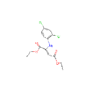 CCOC(=O)/C=C(\Nc1ccc(Cl)cc1Cl)C(=O)OCC